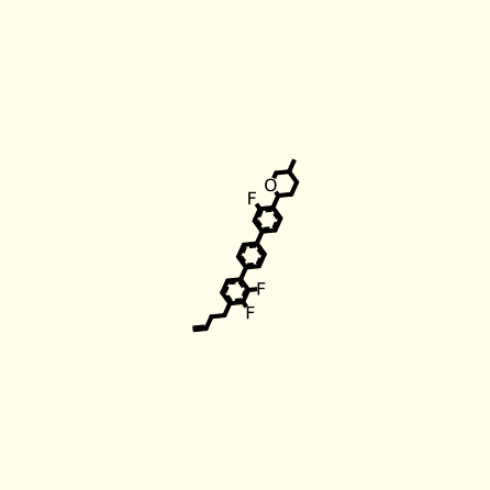 C=CCCc1ccc(-c2ccc(-c3ccc(C4CCC(C)CO4)c(F)c3)cc2)c(F)c1F